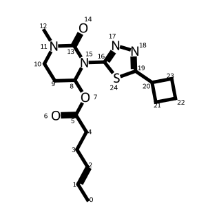 CC=CCCC(=O)OC1CCN(C)C(=O)N1c1nnc(C2CCC2)s1